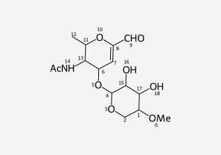 COC1COC(OC2C=C(C=O)OC(C)C2NC(C)=O)C(O)C1O